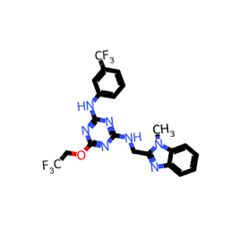 Cn1c(CNc2nc(Nc3cccc(C(F)(F)F)c3)nc(OCC(F)(F)F)n2)nc2ccccc21